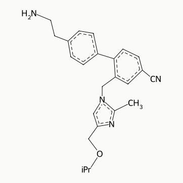 Cc1nc(COC(C)C)cn1Cc1cc(C#N)ccc1-c1ccc(CCN)cc1